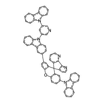 c1cnc2c(c1)C1(c3cc(-c4ccc5c(c4)c4ccccc4n5-c4cncc(-n5c6ccccc6c6ccccc65)c4)ccc3Oc3ccc(-n4c5ccccc5c5ccccc54)cc31)c1cccnc1-2